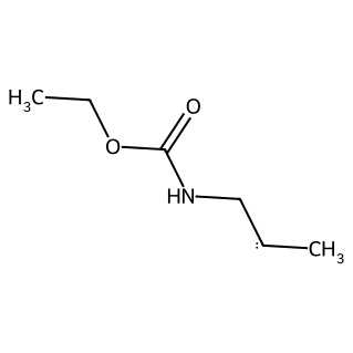 C[C]CNC(=O)OCC